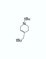 CC(C)(C)CC1=CCN(C(C)(C)C)CC1